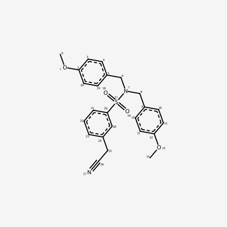 COc1ccc(CN(Cc2ccc(OC)cc2)S(=O)(=O)c2cccc(CC#N)c2)cc1